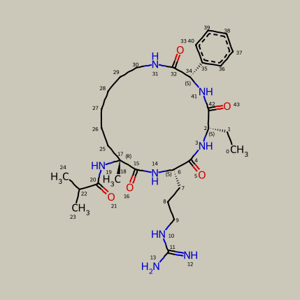 CC[C@@H]1NC(=O)[C@H](CCCNC(=N)N)NC(=O)[C@](C)(NC(=O)C(C)C)CCCCCCNC(=O)[C@H](c2ccccc2)NC1=O